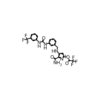 NC(=O)c1nn(OC(=O)C(F)(F)F)cc1NCc1cccc(NC(=O)Nc2cccc(C(F)(F)F)c2)c1